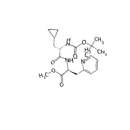 COC(=O)[C@H](Cc1ccccn1)NC(=O)[C@H](CC1CC1)NC(=O)OC(C)(C)C